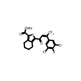 COC(=O)c1sc(C(=O)/C=C(\c2cc(Cl)c(F)c(Cl)c2)C(F)(F)F)c2c1CCCC2